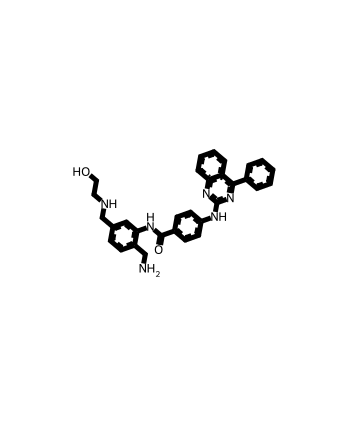 NCc1ccc(CNCCO)cc1NC(=O)c1ccc(Nc2nc(-c3ccccc3)c3ccccc3n2)cc1